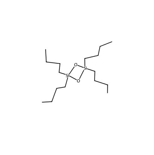 CCCC[Si]1(CCCC)O[Si](CCCC)(CCCC)O1